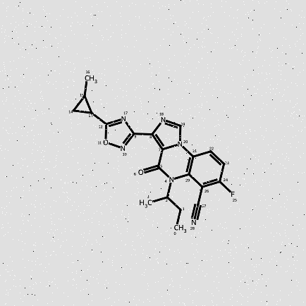 CCC(C)n1c(=O)c2c(-c3noc(C4CC4C)n3)ncn2c2ccc(F)c(C#N)c21